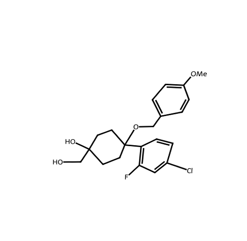 COc1ccc(COC2(c3ccc(Cl)cc3F)CCC(O)(CO)CC2)cc1